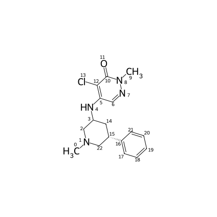 CN1CC(Nc2cnn(C)c(=O)c2Cl)C[C@H](c2ccccc2)C1